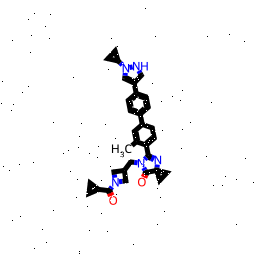 CC1=CC(c2ccc(C3=CN(C4CC4)NC3)cc2)CC=C1C1=NC2(CC2)C(=O)N1CC1CN(C(=O)C2CC2)C1